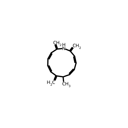 C=C1/C=C\C=C/C(=C)C(C)/C=C\C=C/C(=C)N1